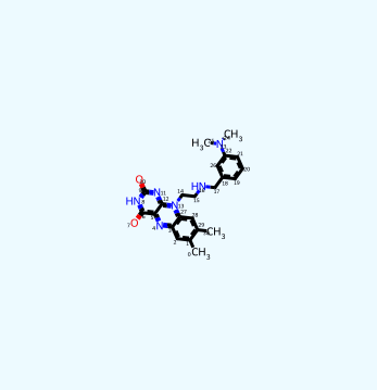 Cc1cc2nc3c(=O)[nH]c(=O)nc-3n(CCNCc3cccc(N(C)C)c3)c2cc1C